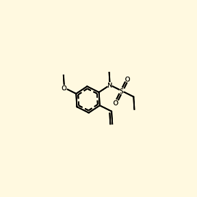 C=Cc1ccc(OC)cc1N(C)S(=O)(=O)CC